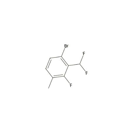 Cc1ccc(Br)c(C(F)F)c1F